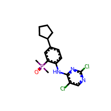 CP(C)(=O)c1cc(C2CCCC2)ccc1Nc1nc(Cl)ncc1Cl